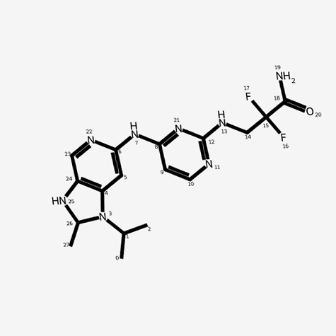 CC(C)N1c2cc(Nc3ccnc(NCC(F)(F)C(N)=O)n3)ncc2NC1C